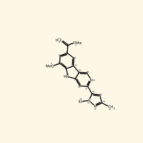 C=C(OC)c1cc(OC)c2[nH]c3cc(-c4cc(C)nn4CC)ncc3c2c1